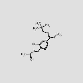 CS/C(=N/C[Si](C)(C)C)c1ccc(COC(C)=O)c(Br)c1